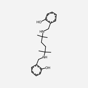 CC(C)(CCC(C)(C)NCc1ccccc1O)NCc1ccccc1O